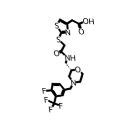 O=C(O)Cc1csc(SCC(=O)NC[C@H]2CN(Cc3ccc(F)c(C(F)(F)F)c3)CCO2)n1